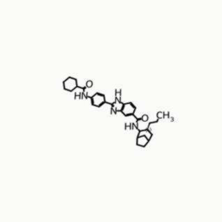 CCC[C@H]1CC2CCC(C2)C1NC(=O)c1ccc2[nH]c(-c3ccc(NC(=O)C4CCCCC4)cc3)nc2c1